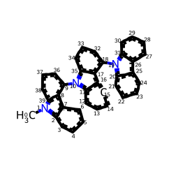 Cn1c2ccccc2c2c(-n3c4ccccc4c4c(-n5c6ccccc6c6ccccc65)cccc43)cccc21